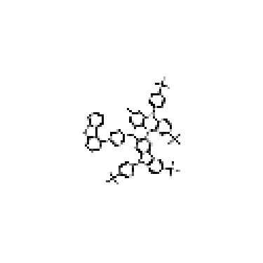 Cc1cc2c3c(c1)N(c1ccc(-c4cccc5oc6ccccc6c45)cc1)c1cc4c(cc1B3c1cc(C(C)(C)C)ccc1N2c1ccc(C(C)(C)C)cc1)c1cc(C(C)(C)C)ccc1n4-c1ccc(C(C)(C)C)cc1